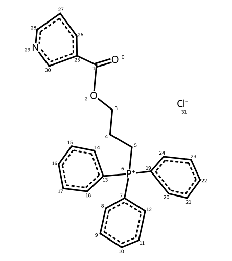 O=C(OCCC[P+](c1ccccc1)(c1ccccc1)c1ccccc1)c1cccnc1.[Cl-]